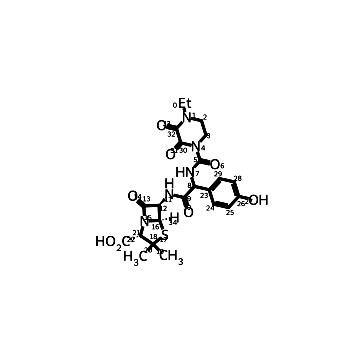 CCN1CCN(C(=O)NC(C(=O)N[C@@H]2C(=O)N3[C@@H]2SC(C)(C)[C@@H]3C(=O)O)c2ccc(O)cc2)C(=O)C1=O